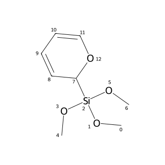 CO[Si](OC)(OC)C1C=CC=CO1